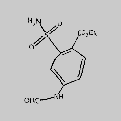 CCOC(=O)c1ccc(NC=O)cc1S(N)(=O)=O